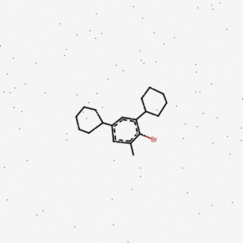 Cc1cc(C2CCCCC2)cc(C2CCCCC2)c1Br